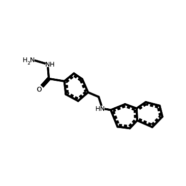 NNC(=O)c1ccc(CNc2ccc3ccccc3c2)cc1